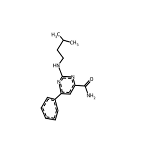 CC(C)CCNc1nc(C(N)=O)cc(-c2ccccc2)n1